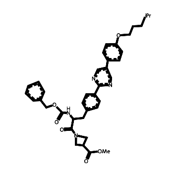 COC(=O)C1CN(C(=O)C(Cc2ccc(-c3ncc(-c4ccc(OCCCC(C)C)cc4)cn3)cc2)NC(=O)OCc2ccccc2)C1